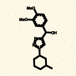 COc1ccc(C(O)c2cn(C3CCCC(C)C3)nn2)cc1OC